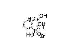 O=P(O)(O)c1ccccc1.OP(O)O.[Zr]